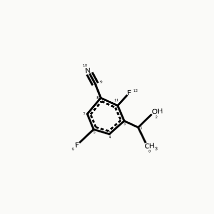 CC(O)c1cc(F)cc(C#N)c1F